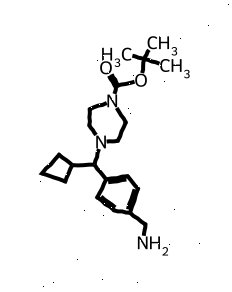 CC(C)(C)OC(=O)N1CCN(C(c2ccc(CN)cc2)C2CCC2)CC1